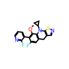 COc1c(-c2cccnc2F)c(F)cc2c1N(C1CC1)c1sncc1C2